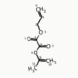 C=CCOC(=O)C(=O)OC(=C)C